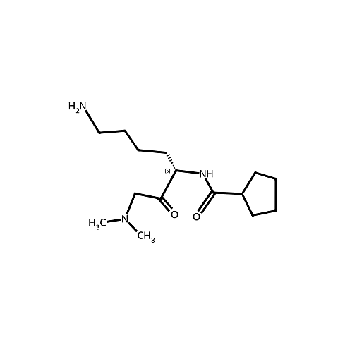 CN(C)CC(=O)[C@H](CCCCN)NC(=O)C1CCCC1